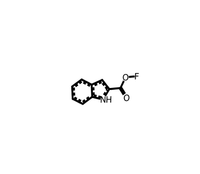 O=C(OF)c1cc2ccccc2[nH]1